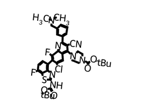 CN(C)Cc1cccc(-c2nc3c(F)c(-c4ccc(F)c5sc(NC(=O)OC(C)(C)C)nc45)c(Cl)cc3c(N3CCN(C(=O)OC(C)(C)C)CC3)c2C#N)c1